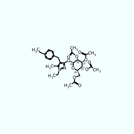 CCc1ccc(Cc2c(O[C@@H]3O[C@H](COC(C)=O)[C@@H](OC(C)=O)[C@H](OC(C)=O)[C@H]3OC(C)=O)nn(CC)c2C)cc1